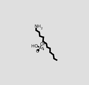 CCCCCCCCCCCCN.C[As](=O)(O)O